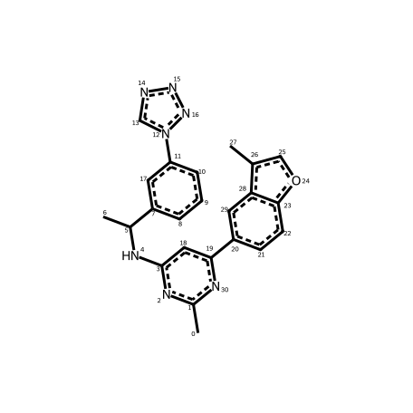 Cc1nc(NC(C)c2cccc(-n3cnnn3)c2)cc(-c2ccc3occ(C)c3c2)n1